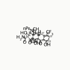 CCCN(C)[C@@H]1C(O)=C(C(N)=O)C(=O)[C@@]2(O)C(O)=C3C(=O)c4c(O)ccc(C(F)(F)F)c4C[C@H]3C[C@@H]12